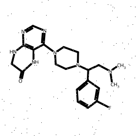 CN(C)CC(c1cccc(F)c1)N1CCN(c2ncnc3c2NC(=O)CN3)CC1